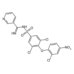 N=C(NS(=O)(=O)c1cc(Cl)c(Oc2ccc([N+](=O)[O-])cc2Cl)c(Cl)c1)c1cccnc1